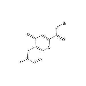 O=C(OBr)c1cc(=O)c2cc(F)ccc2o1